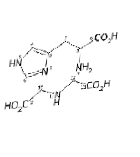 NC(Cc1c[nH]cn1)C(=O)O.O=C(O)CNCC(=O)O